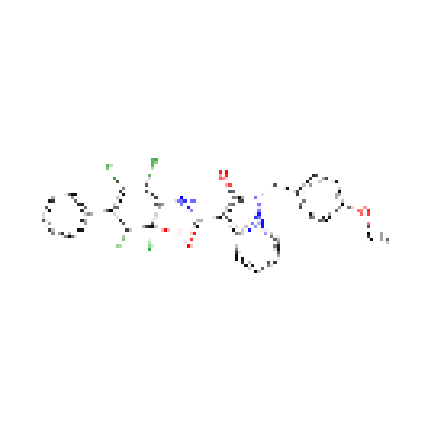 COc1ccc(Cn2c(=O)c(C(=O)NC3=C(F)C(F)=C(c4ccccc4)C(F)C3(O)F)c3ccccn32)cc1